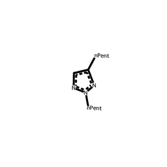 CCCCCc1cnn(CCCCC)n1